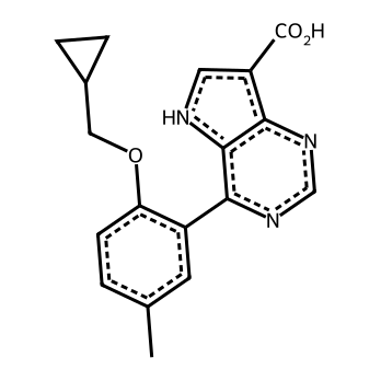 Cc1ccc(OCC2CC2)c(-c2ncnc3c(C(=O)O)c[nH]c23)c1